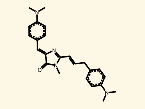 CN1C(=O)/C(=C/c2ccc(N(C)C)cc2)N=C1/C=C/Cc1ccc(N(C)C)cc1